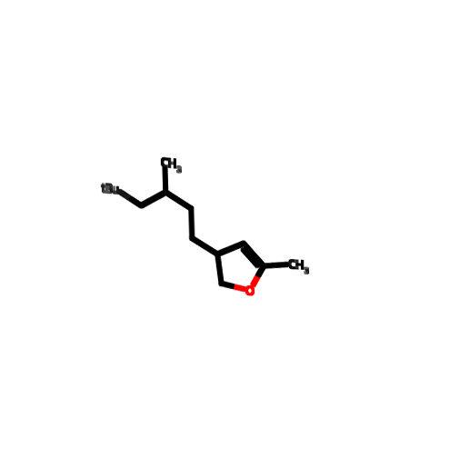 CC1=CC(CCC(C)CC(C)(C)C)CO1